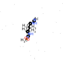 CC(=O)N1CCC(Nc2cccc(C(C)(C)CCC(C)(C)c3cccc(NC4CCN(S(C)(=O)=O)CC4)c3)c2)CC1